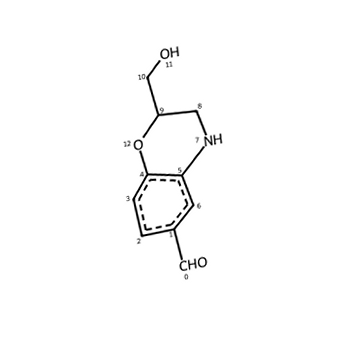 O=Cc1ccc2c(c1)NCC(CO)O2